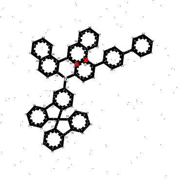 c1ccc(-c2ccc(-c3ccc(N(c4ccc5c(c4)-c4ccccc4C54c5ccccc5-c5ccccc54)c4ccc5ccccc5c4-c4ccc5ccccc5c4)cc3)cc2)cc1